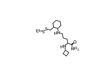 CCSSCC1CCCCC1NCCCC(NC1CCC1)C(N)=O